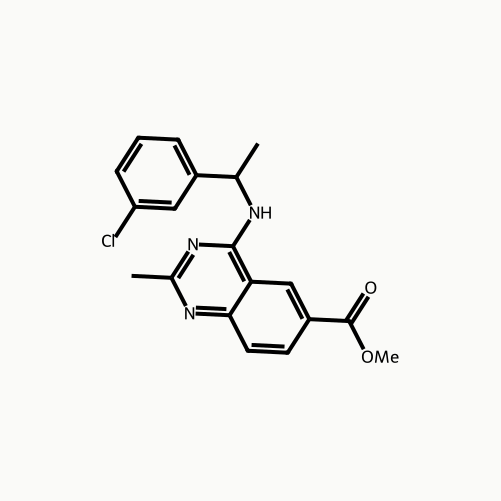 COC(=O)c1ccc2nc(C)nc(NC(C)c3cccc(Cl)c3)c2c1